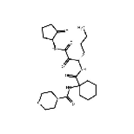 CCCC[C@H](NC(=O)C1(NC(=O)N2CCOCC2)CCCCC1)C(=O)C(=O)N[C@H]1CCCC1=O